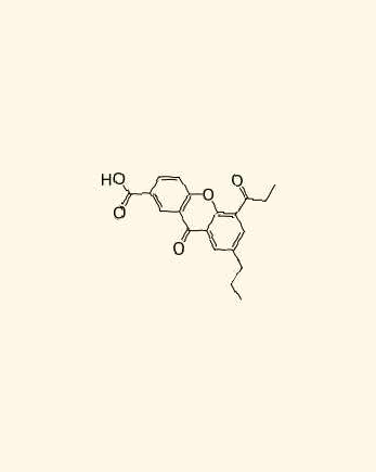 CCCc1cc(C(=O)CC)c2oc3ccc(C(=O)O)cc3c(=O)c2c1